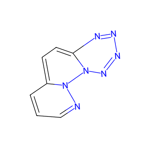 C1=CC2=CC=C3N=NN=NN3N2N=C1